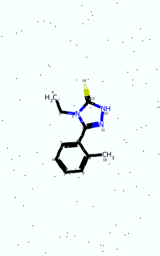 C[CH]n1c(-c2ccccc2C)n[nH]c1=S